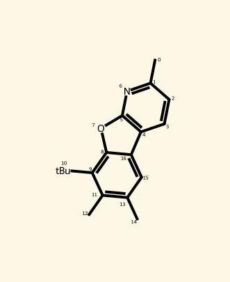 Cc1ccc2c(n1)oc1c(C(C)(C)C)c(C)c(C)cc12